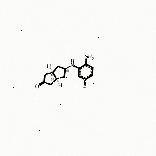 Nc1ccc(F)cc1N[C@H]1C[C@H]2CC(=O)C[C@H]2C1